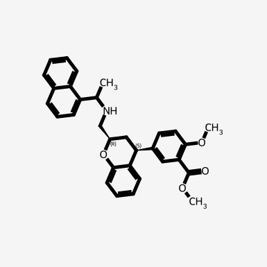 COC(=O)c1cc([C@@H]2C[C@H](CNC(C)c3cccc4ccccc34)Oc3ccccc32)ccc1OC